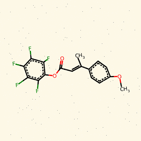 COc1ccc(C(C)=CC(=O)Oc2c(F)c(F)c(F)c(F)c2F)cc1